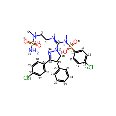 CN(CC/N=C(/NS(=O)(=O)c1ccc(Cl)cc1)N1C[C@@H](c2ccccc2)C(c2ccc(Cl)cc2)=N1)S(N)(=O)=O